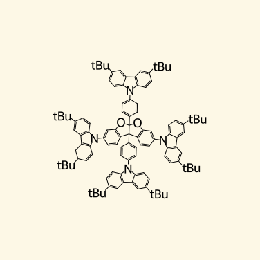 CC(C)(C)c1ccc2c(c1)c1c(n2-c2ccc3c(c2)OC2(c4ccc(-n5c6ccc(C(C)(C)C)cc6c6cc(C(C)(C)C)ccc65)cc4)Oc4cc(-n5c6ccc(C(C)(C)C)cc6c6cc(C(C)(C)C)ccc65)ccc4C32c2ccc(-n3c4ccc(C(C)(C)C)cc4c4cc(C(C)(C)C)ccc43)cc2)C=CC(C(C)(C)C)C1